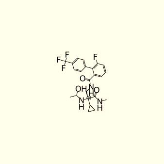 CNC(=O)[C@@](CNC(=O)c1cccc(F)c1-c1ccc(C(F)(F)F)cc1)(NC(C)O)C1CC1